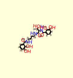 C[C@@H](O)[C@H](NC(=O)c1cccc(O)c1O)C(=O)NCCCCNC(=O)c1cccc(O)c1O